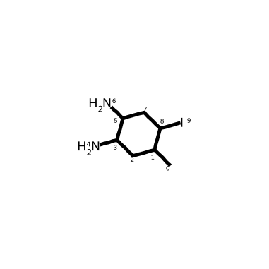 CC1CC(N)C(N)CC1I